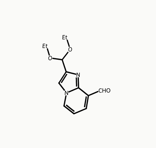 CCOC(OCC)c1cn2cccc(C=O)c2n1